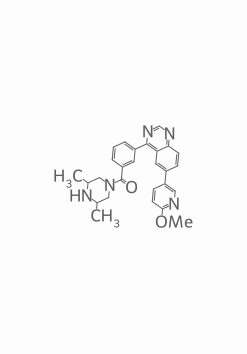 COc1ccc(-c2ccc3ncnc(-c4cccc(C(=O)N5CC(C)NC(C)C5)c4)c3c2)cn1